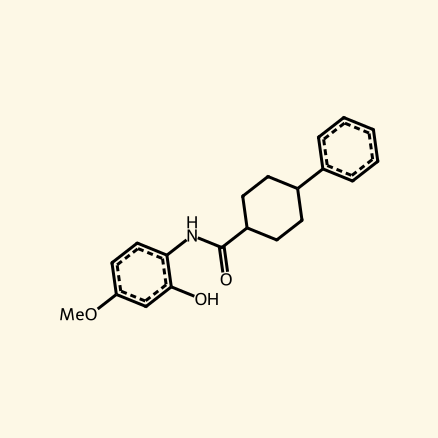 COc1ccc(NC(=O)C2CCC(c3ccccc3)CC2)c(O)c1